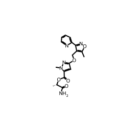 Cc1onc(-c2ccccn2)c1COc1cc(C(=O)O[C@@H](C)C(N)=O)n(C)n1